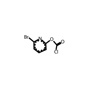 O=C(Cl)Oc1cccc(Br)n1